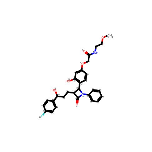 COCCNC(=O)COc1ccc(C2C(CCC(O)c3ccc(F)cc3)C(=O)N2c2ccccc2)c(O)c1